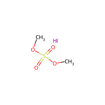 COS(=O)(=O)OC.I